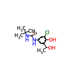 CC(O)c1cc(NC(=S)NC(C)(C)C)cc(Cl)c1O